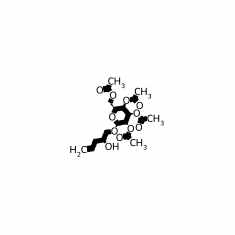 C=CC[C@H](O)CO[C@@H]1O[C@H](COC(C)=O)[C@@H](OC(C)=O)[C@H](OC(C)=O)[C@@H]1OC(C)=O